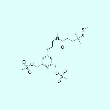 CSSC(C)(C)CCC(=O)N(C)CCCc1cc(COS(C)(=O)=O)nc(COS(C)(=O)=O)c1